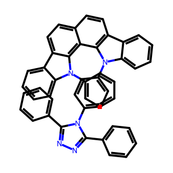 c1ccc(-c2nnc(-c3ccccc3)n2-c2ccc(-n3c4ccccc4c4ccc5ccc6c7ccccc7n(-c7ccccc7)c6c5c43)cc2)cc1